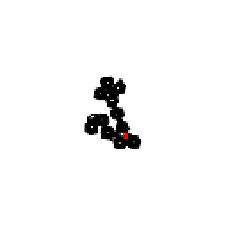 CC1(C)c2ccccc2-c2cccc(N(c3cccc(-c4ccc(-c5ccc6c(c5)-c5ccccc5C6(c5ccccc5)c5ccccc5)cc4)c3)c3cccc(-c4cccc5oc6ccccc6c45)c3)c21